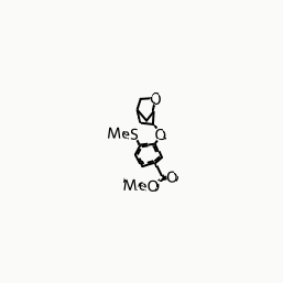 COC(=O)c1ccc(SC)c(OC2CC3COC2C3)c1